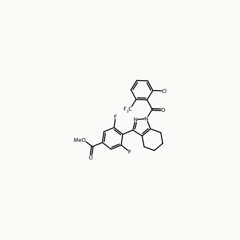 COC(=O)c1cc(F)c(-c2nn(C(=O)c3c(Cl)cccc3C(F)(F)F)c3c2CCCC3)c(F)c1